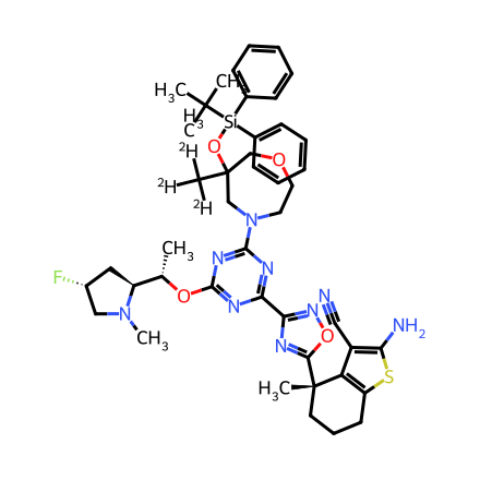 [2H]C([2H])([2H])C1(O[Si](c2ccccc2)(c2ccccc2)C(C)(C)C)COCCN(c2nc(O[C@@H](C)[C@@H]3C[C@@H](F)CN3C)nc(-c3noc([C@@]4(C)CCCc5sc(N)c(C#N)c54)n3)n2)C1